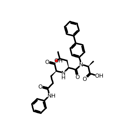 CC(C)C[C@H](N[C@@H](CCC(=O)Nc1ccccc1)C(=O)O)C(=O)N(c1ccc(-c2ccccc2)cc1)[C@@H](C)C(=O)O